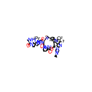 CO[C@@H](C)c1ncc(N2CCN(C3CC3)CC2)cc1-c1c2c3cc(ccc3n1CC(F)(F)F)-c1csc(n1)C[C@H](NC(=O)[C@H](C(C)C)N1CC[C@]3(CCN(C(=O)[C@H]4CN4)C3)C1)C(=O)N1CCC[C@H](N1)C(=O)OCC(C)(C)C2